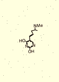 CNC(C)CC=Cc1cnc(O)nc1O